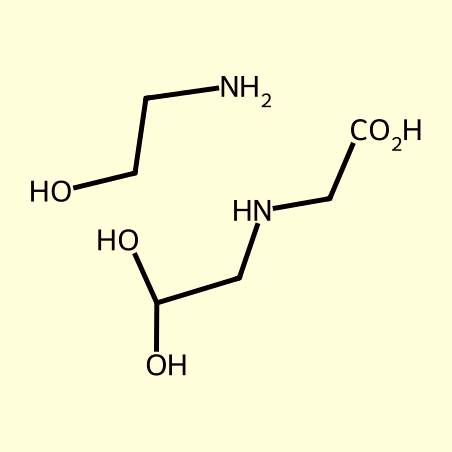 NCCO.O=C(O)CNCC(O)O